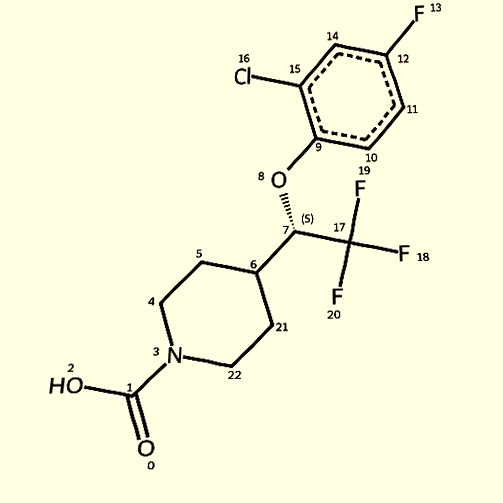 O=C(O)N1CCC([C@H](Oc2ccc(F)cc2Cl)C(F)(F)F)CC1